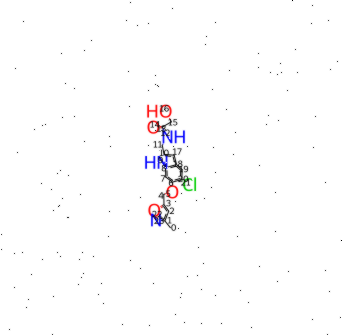 Cc1cc(COc2cc3[nH]c(CNC(=O)CO)cc3cc2Cl)on1